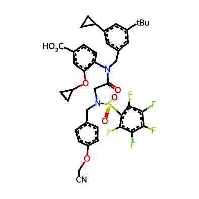 CC(C)(C)c1cc(CN(C(=O)CN(Cc2ccc(OCC#N)cc2)S(=O)(=O)c2c(F)c(F)c(F)c(F)c2F)c2ccc(C(=O)O)cc2OC2CC2)cc(C2CC2)c1